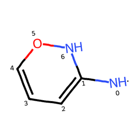 [NH]C1=CC=CON1